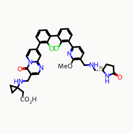 COc1nc(-c2cccc(-c3cccc(-c4ccn5c(=O)c(CNC6(CC(=O)O)CC6)cnc5c4)c3Cl)c2Cl)ccc1CNC[C@@H]1CCC(=O)N1